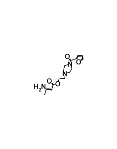 CC(N)=CC(=O)OCCN1CCN(C(=O)c2ccco2)CC1